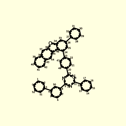 c1ccc(-c2cccc(-c3nc(-c4ccccc4)nc(-c4ccc(-c5cc(-c6ccccc6)cc6oc7cc8ccccc8cc7c56)cc4)n3)c2)cc1